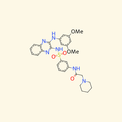 COc1cc(Nc2nc3ccccc3nc2NS(=O)(=O)c2cccc(NC(=O)CN3CCCCC3)c2)cc(OC)c1